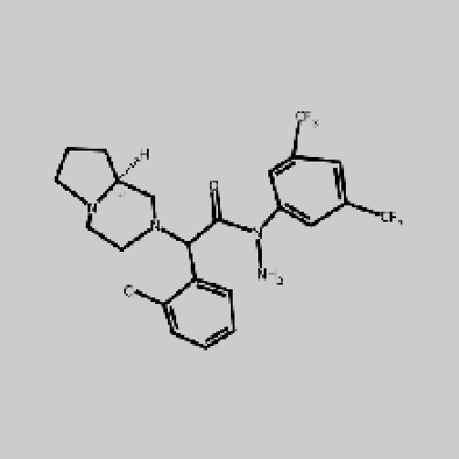 NN(C(=O)C(c1ccccc1Cl)N1CCN2CCC[C@H]2C1)c1cc(C(F)(F)F)cc(C(F)(F)F)c1